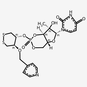 C[C@@]1(O)[C@@H]2OP(=O)(O[C@H]3CSSC[C@@H]3OCc3ccncc3)OC[C@H]2O[C@H]1n1ccc(=O)[nH]c1=O